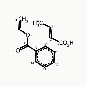 C/C=C/C(=O)O.C=COC(=O)c1ccccc1